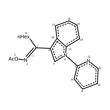 CCCCCC/C(=N\OC(C)=O)c1cn(-c2ccccn2)c2ccccc12